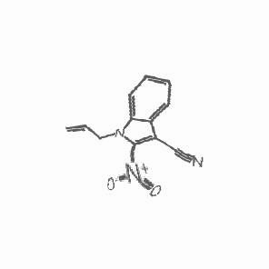 C=CCn1c([N+](=O)[O-])c(C#N)c2ccccc21